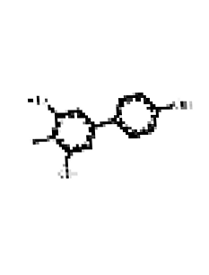 Cc1c(O)cc(-c2ccc(O)cc2)cc1O